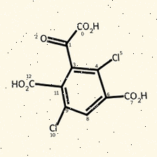 O=C(O)C(=O)c1c(Cl)c(C(=O)O)cc(Cl)c1C(=O)O